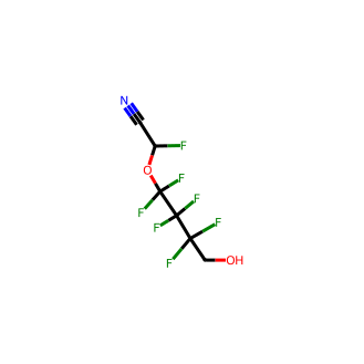 N#CC(F)OC(F)(F)C(F)(F)C(F)(F)CO